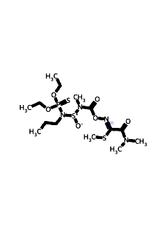 CCCN([S+]([O-])N(C)C(=O)O/N=C(\SC)C(=O)N(C)C)P(=S)(OCC)OCC